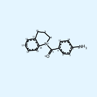 Nc1ccc(C(=O)N2CCCc3ccccc32)cc1